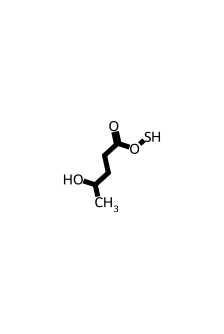 CC(O)CCC(=O)OS